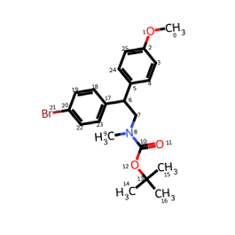 COc1ccc(C(CN(C)C(=O)OC(C)(C)C)c2ccc(Br)cc2)cc1